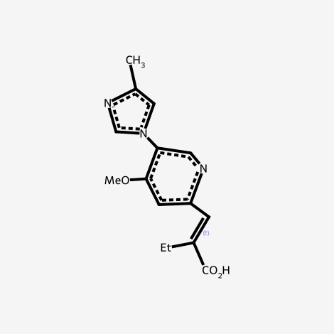 CC/C(=C\c1cc(OC)c(-n2cnc(C)c2)cn1)C(=O)O